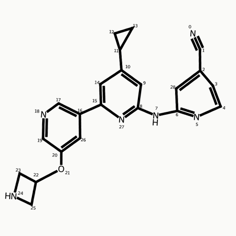 N#Cc1ccnc(Nc2cc(C3CC3)cc(-c3cncc(OC4CNC4)c3)n2)c1